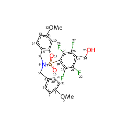 COc1ccc(CN(Cc2ccc(OC)cc2)S(=O)(=O)c2c(F)c(F)c(CO)c(F)c2F)cc1